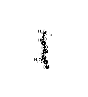 CC1Oc2cc(N3CCCC3=O)ccc2-c2cnc(Nc3cncc(NC(=O)c4ccc(NC(=O)CCCN(C)C)cc4)c3)cc21